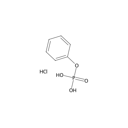 Cl.O=P(O)(O)Oc1ccccc1